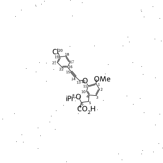 COc1ccc(CC(OC(C)C)C(=O)O)cc1OCC#Cc1ccc(Cl)cc1